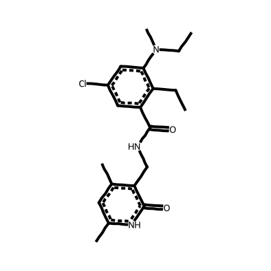 CCc1c(C(=O)NCc2c(C)cc(C)[nH]c2=O)cc(Cl)cc1N(C)CC